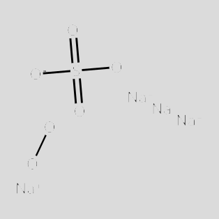 O=S(=O)([O-])[O-].[Na+].[Na+].[Na+].[Na+].[O-][O-]